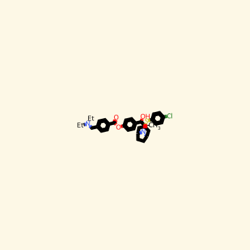 CCN(CC)Cc1ccc(C(=O)Oc2ccc(C(O)[C@H](C)N3C4CCC3CC(Sc3ccc(Cl)cc3)C4)cc2)cc1